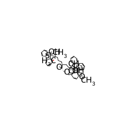 COc1ccc(COC[C@@H]2O[C@]2(CCCC(C)(C)[Si](O)(c2ccccc2)c2ccccc2)CCC(C)(C)[Si](O)(c2ccccc2)c2ccccc2)cc1